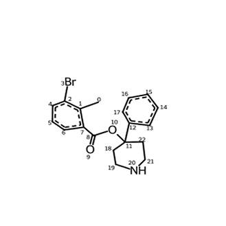 Cc1c(Br)cccc1C(=O)OC1(c2ccccc2)CCNCC1